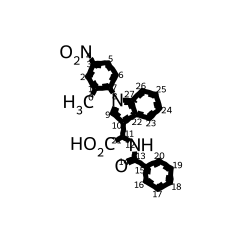 Cc1cc([N+](=O)[O-])ccc1-n1cc(C(NC(=O)c2ccccc2)C(=O)O)c2ccccc21